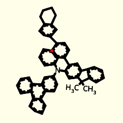 CC1(C)c2ccccc2-c2cc(-c3ccc(-c4ccc5c(c4)CCCC5)cc3)c(N(c3ccccc3)c3ccc4c5ccccc5c5ccccc5c4c3)cc21